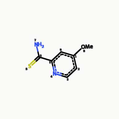 COc1ccnc(C(N)=S)c1